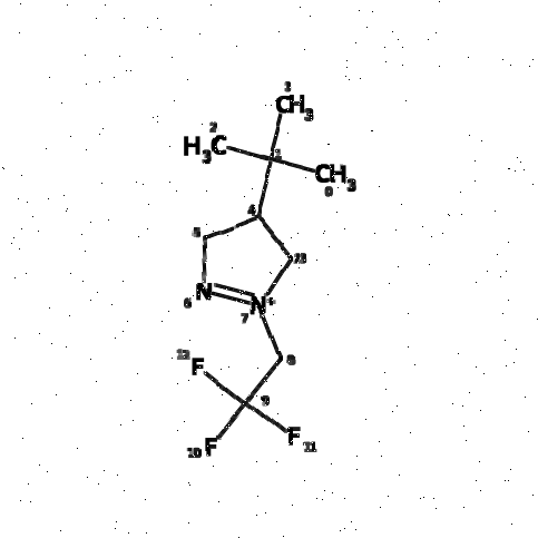 CC(C)(C)C1CN=[N+](CC(F)(F)F)C1